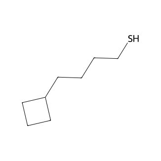 SCCCCC1CCC1